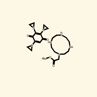 CC(C)(C)OC(=O)CN1CCNCCNCCNCC1.O=C1C=C(N2CC2)C(=O)C(N2CC2)=C1N1CC1